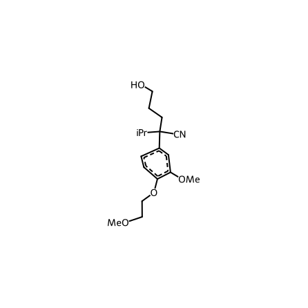 COCCOc1ccc(C(C#N)(CCCO)C(C)C)cc1OC